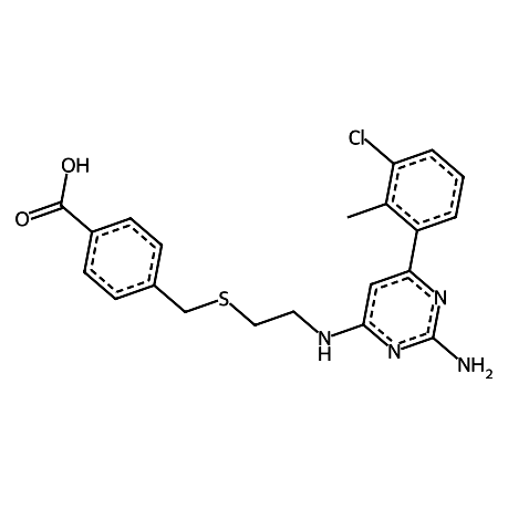 Cc1c(Cl)cccc1-c1cc(NCCSCc2ccc(C(=O)O)cc2)nc(N)n1